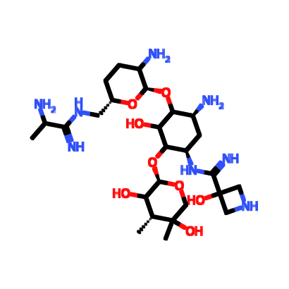 CC(N)C(=N)NC[C@@H]1CCC(N)[C@@H](OC2C(O)C(O[C@H]3OCC(C)(O)[C@H](C)C3O)[C@H](NC(=N)C3(O)CNC3)C[C@@H]2N)O1